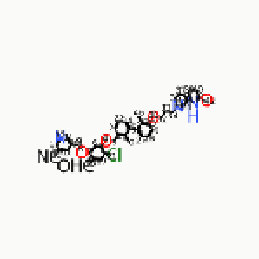 Cc1c(COc2cc(OCc3cncc(C#N)c3)c(C=O)cc2Cl)cccc1-c1cccc(OCCCN2CCC3(CCC(=O)N3)C2)c1C